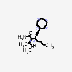 CCC/C=C(C#CC1=C/C=C\C=C/C=C\1)/C(C(N)=O)=C(/C)N(C)I